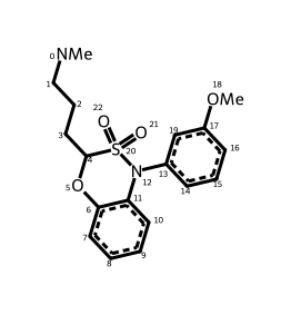 CNCCCC1Oc2ccccc2N(c2cccc(OC)c2)S1(=O)=O